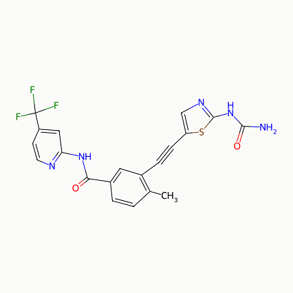 Cc1ccc(C(=O)Nc2cc(C(F)(F)F)ccn2)cc1C#Cc1cnc(NC(N)=O)s1